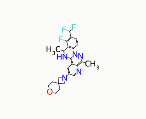 Cc1nnc(NC(C)c2cccc(C(F)F)c2F)c2cc(N3CC4(CCOCC4)C3)cnc12